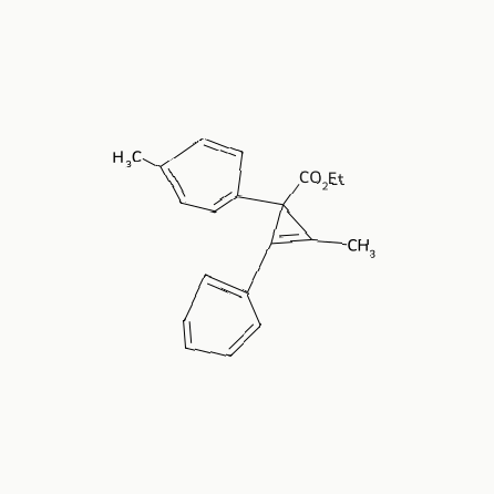 CCOC(=O)C1(c2ccc(C)cc2)C(C)=C1c1ccccc1